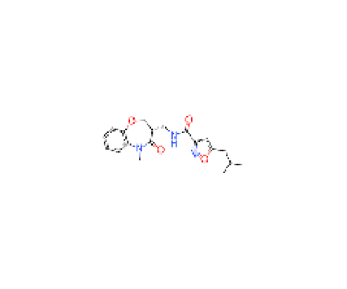 CC(C)Cc1cc(C(=O)NC[C@H]2COc3ccccc3N(C)C2=O)no1